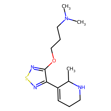 CC1NCCC=C1c1nsnc1OCCCN(C)C